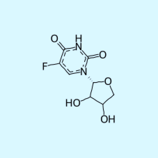 O=c1[nH]c(=O)n([C@@H]2OCC(O)C2O)cc1F